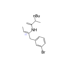 C=C(N/C(=C\C)Cc1cccc(Br)c1)C(C)CCCC